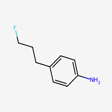 Nc1ccc(CCCF)cc1